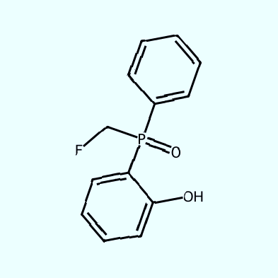 O=P(CF)(c1ccccc1)c1ccccc1O